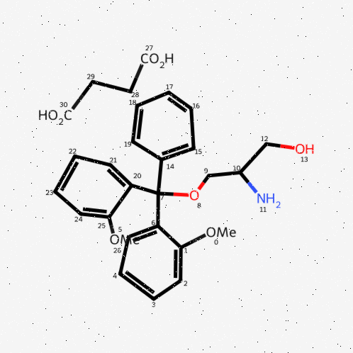 COc1ccccc1C(OCC(N)CO)(c1ccccc1)c1ccccc1OC.O=C(O)CCC(=O)O